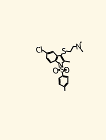 Cc1ccc(S(=O)(=O)n2c(C)c(SCCN(C)C)c3cc(Cl)ccc32)cc1